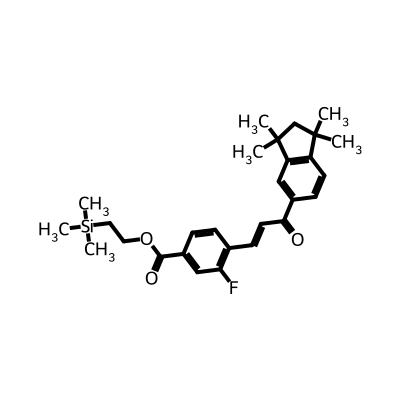 CC1(C)CC(C)(C)c2cc(C(=O)C=Cc3ccc(C(=O)OCC[Si](C)(C)C)cc3F)ccc21